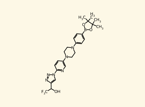 CC1(C)OB(c2ccc(N3CCN(c4ccc(-n5cc(C(O)C(F)(F)F)nn5)nc4)CC3)cc2)OC1(C)C